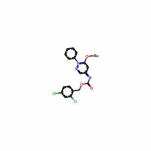 CCCCOc1cc(=NC(=O)OCc2ccc(Cl)cc2Cl)cnn1-c1ccccc1